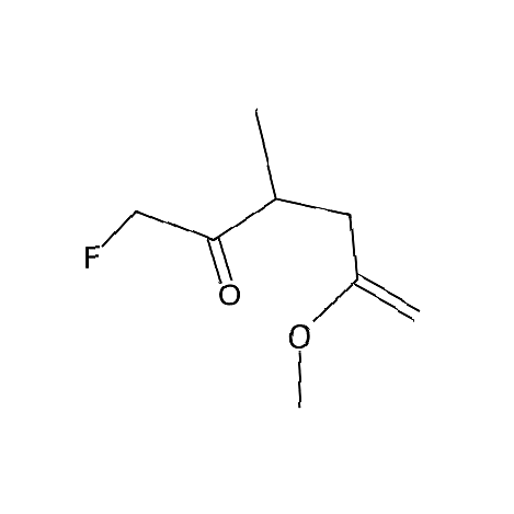 C=C(CC(C)C(=O)CF)OC